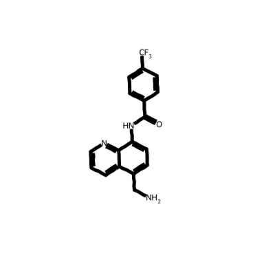 NCc1ccc(NC(=O)c2ccc(C(F)(F)F)cc2)c2ncccc12